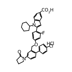 Cl.O=C(O)c1ccc2c(c1)cc(-c1ccc(OCc3cc(N4CCCC4=O)ccc3-c3ccc(Cl)cc3)cc1F)n2C1CCCCC1